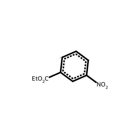 CCOC(=O)c1[c]ccc([N+](=O)[O-])c1